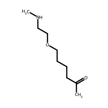 CNCCOCCCCC(C)=O